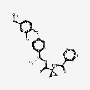 COc1ccc(Oc2ccc([C@@H](C)NC(=O)C3(NC(=O)c4cncnc4)CC3)nc2)c(Br)c1